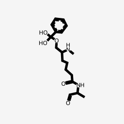 CNC(CCCCC(=O)NC(C)C=O)COC(O)(O)c1ccccc1